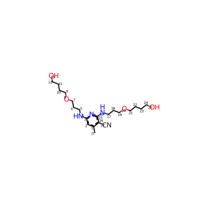 Cc1cc(NCCCOCCCCO)nc(NCCCOCCCCO)c1C#N